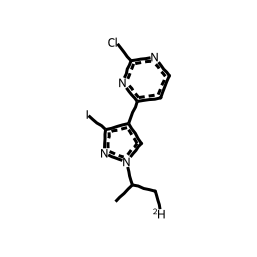 [2H]CC(C)n1cc(-c2ccnc(Cl)n2)c(I)n1